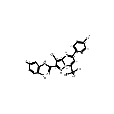 O=C(Nc1cc(Cl)ccc1Cl)c1nn2c(C(F)(F)F)cc(-c3ccc(Br)cc3)nc2c1Cl